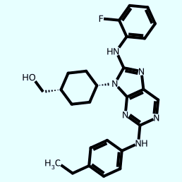 CCc1ccc(Nc2ncc3nc(Nc4ccccc4F)n([C@H]4CC[C@@H](CO)CC4)c3n2)cc1